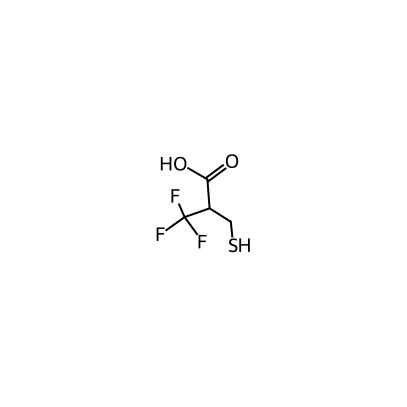 O=C(O)C(CS)C(F)(F)F